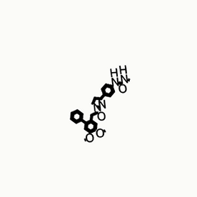 CNC(=O)Nc1ccc(C2=NN(C(=O)Cc3cc(OC)c(OC)cc3-c3ccccc3)CC2)cc1